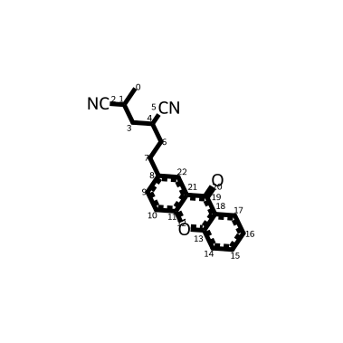 CC(C#N)CC(C#N)CCc1ccc2oc3ccccc3c(=O)c2c1